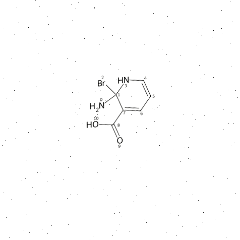 NC1(Br)NC=CC=C1C(=O)O